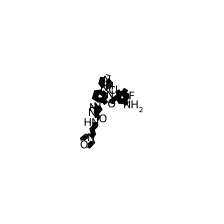 Cc1c(F)c(N)cc(C(=O)Nc2c(N3CCN(C)CC3)ccc(-n3cc(C(=O)NCCCN4CCOCC4)nn3)c2C)c1Cl